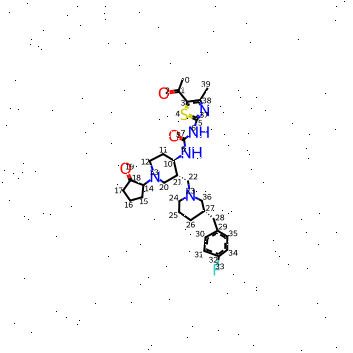 CC(=O)c1sc(NC(=O)N[C@@H]2CCN(C3CCCC3=O)C[C@H]2CN2CCC[C@@H](Cc3ccc(F)cc3)C2)nc1C